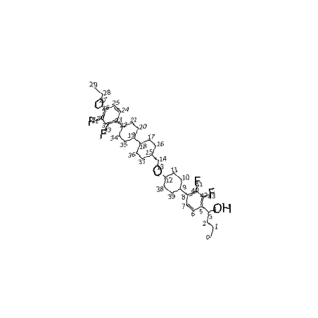 CCCC(O)c1ccc(C2CCC(OCC3CCC(C4CCC(c5ccc(OCC)c(F)c5F)CC4)CC3)CC2)c(F)c1F